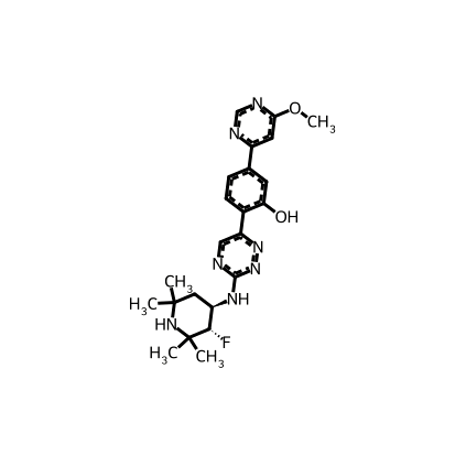 COc1cc(-c2ccc(-c3cnc(N[C@@H]4CC(C)(C)NC(C)(C)[C@H]4F)nn3)c(O)c2)ncn1